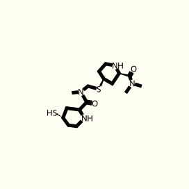 CN(C)C(=O)[C@H]1C[C@@H](SCN(C)C(=O)C2C[C@@H](S)CCN2)CCN1